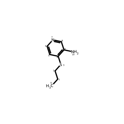 CCCSc1ccncc1N